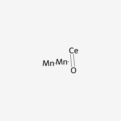 [Mn].[Mn].[O]=[Ce]